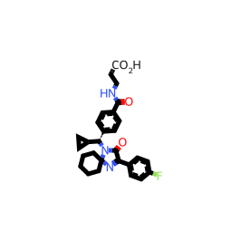 O=C(O)CCNC(=O)c1ccc([C@@H](C2CC2)N2C(=O)C(c3ccc(F)cc3)=NC23CCCCC3)cc1